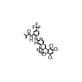 C=C(C)C(=O)Nc1cc(C(F)(F)F)ccc1Nc1cc2c(cn1)cc(-c1c(Cl)c(OC)cc(OC)c1Cl)c1ncnn12